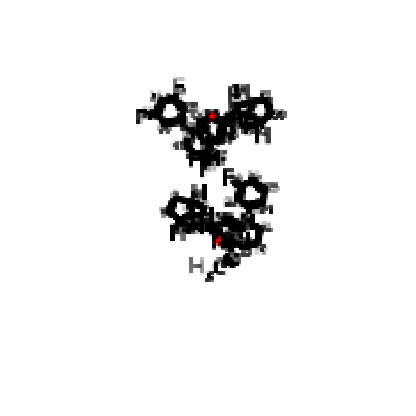 COc1cc(N2C[C@H]3CC[C@@H](C2)[C@H]3Nc2nc3n(n2)CCCN3c2cccc(F)c2)ccn1.Fc1cc(F)cc(N2CCCn3nc(N[C@H]4[C@@H]5CC[C@H]4CN(c4ccnc(C(F)(F)F)c4)C5)nc32)c1